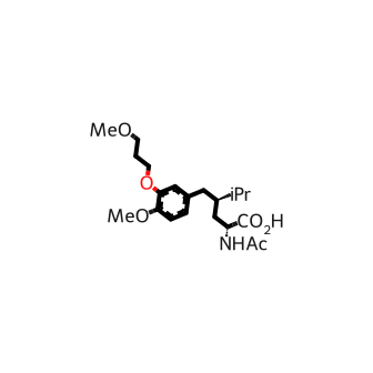 COCCCOc1cc(C[C@H](C[C@@H](NC(C)=O)C(=O)O)C(C)C)ccc1OC